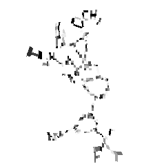 CO[C@@H]1CC[C@]2(Cc3ccc(-c4cc(C#N)cc(C(F)(F)F)c4)cc3[C@@]23N=CC(N)=N3)CC1C